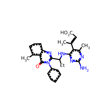 CCC(Nc1nc(N)nc(C)c1/C(C)=C/C(=O)O)c1nc2cccc(C)c2c(=O)n1-c1ccccc1